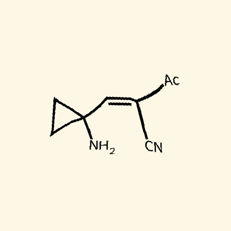 CC(=O)/C(C#N)=C/C1(N)CC1